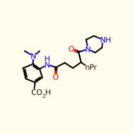 CCCC(CCC(=O)Nc1cc(C(=O)O)ccc1N(C)C)C(=O)N1CCNCC1